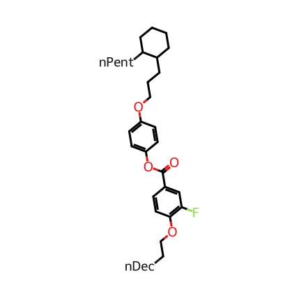 CCCCCCCCCCCCOc1ccc(C(=O)Oc2ccc(OCCCC3CCCCC3CCCCC)cc2)cc1F